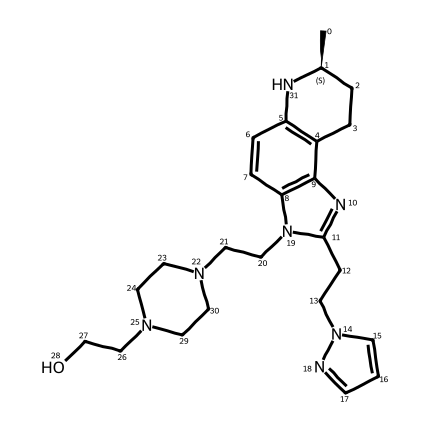 C[C@H]1CCc2c(ccc3c2nc(CCn2cccn2)n3CCN2CCN(CCO)CC2)N1